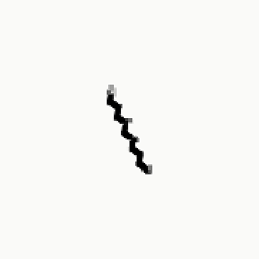 ClCCCSCSCCCCl